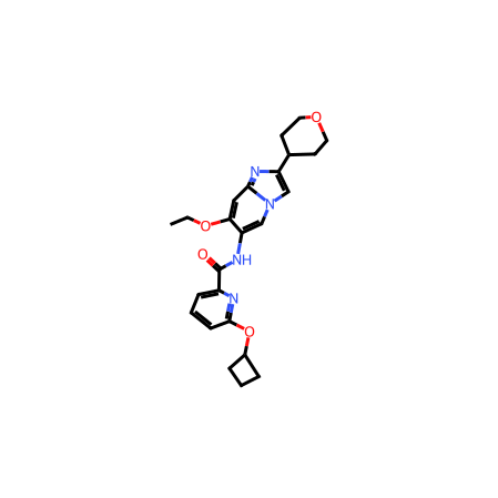 CCOc1cc2nc(C3CCOCC3)cn2cc1NC(=O)c1cccc(OC2CCC2)n1